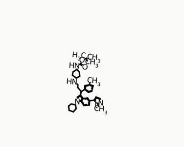 Cc1cccc(C(CCN[C@H]2CC[C@H](NC(=O)OC(C)(C)C)CC2)c2cn(C3CCCCC3)c3ccc(-c4ccnn4C)cc23)c1